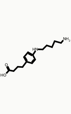 NCCCCCNc1ccc(CCCC(=O)O)cc1